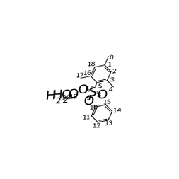 Cc1cc(C)c(S(=O)(=O)Oc2ccccc2)c(C)c1.O.O